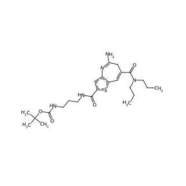 CCCN(CCC)C(=O)C1=Cc2sc(C(=O)NCCCNC(=O)OC(C)(C)C)cc2N=C(N)C1